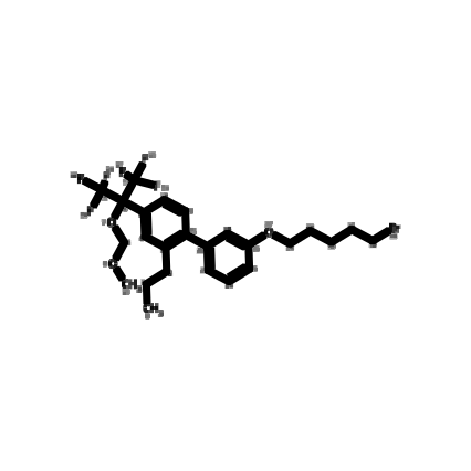 CCCc1cc(C(OCOC)(C(F)(F)F)C(F)(F)F)ccc1-c1cccc(OCCCCCBr)c1